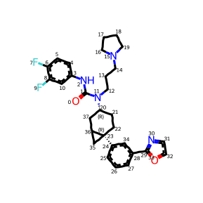 O=C(Nc1ccc(F)c(F)c1)N(CCCN1CCCC1)[C@@H]1CC[C@@]2(c3cccc(-c4ncco4)c3)CC2C1